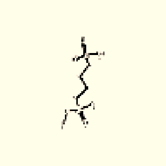 CCOP(=O)(O)CCCCP(=O)(O)O